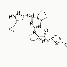 O=C(Nc1ccc(Cl)s1)[C@@H]1CCCN1c1nc2c(c(Nc3cc(C4CC4)[nH]n3)n1)CCC2